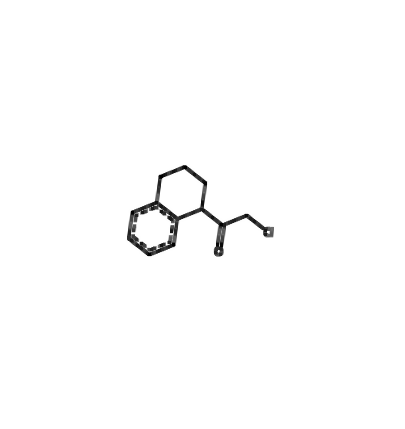 O=C(CCl)C1CCCc2ccccc21